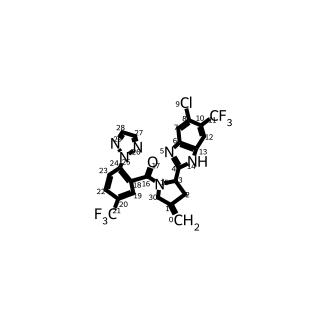 C=C1CC(c2nc3cc(Cl)c(C(F)(F)F)cc3[nH]2)N(C(=O)c2cc(C(F)(F)F)ccc2-n2nccn2)C1